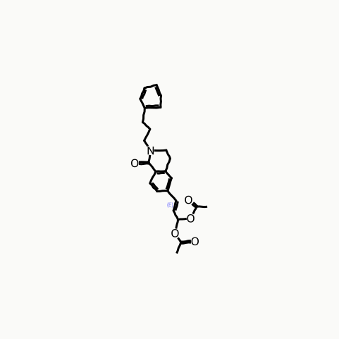 CC(=O)OC(/C=C/c1ccc2c(c1)CCN(CCCc1ccccc1)C2=O)OC(C)=O